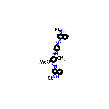 CCNc1ccc(N=Nc2ccc(/N=N/c3cc(OC)c(N=Nc4ccc(NCC)c5ccccc45)cc3C)cc2)c2ccccc12